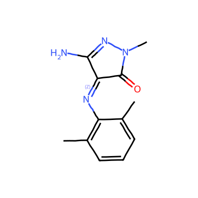 Cc1cccc(C)c1/N=C1\C(=O)N(C)N=C1N